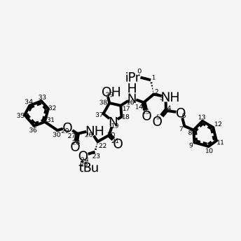 CC(C)C[C@H](NC(=O)OCc1ccccc1)C(=O)NC1CN(C(=O)[C@H](COC(C)(C)C)NC(=O)OCc2ccccc2)CC1O